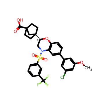 COc1cc(Cl)cc(-c2ccc3c(c2)N(S(=O)(=O)c2cccc(C(F)(F)F)c2)C[C@H](C24CCC(C(=O)O)(CC2)C4)O3)c1